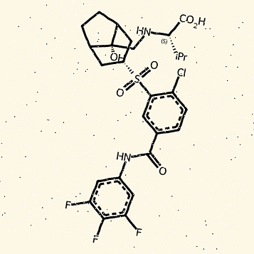 CC(C)[C@H](NC[C@]1(O)C2CCC1C[C@@H](S(=O)(=O)c1cc(C(=O)Nc3cc(F)c(F)c(F)c3)ccc1Cl)C2)C(=O)O